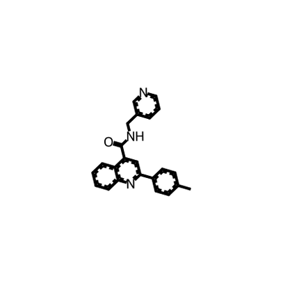 Cc1ccc(-c2cc(C(=O)NCc3cccnc3)c3ccccc3n2)cc1